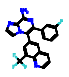 Nc1nc(-c2cccc(F)c2)c(-c2cc(C(F)(F)F)c3ncccc3c2)n2ccnc12